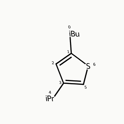 CCC(C)c1cc(C(C)C)cs1